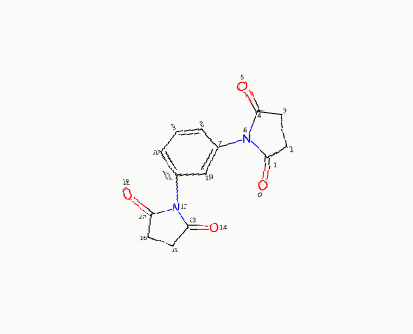 O=C1CCC(=O)N1c1cccc(N2C(=O)CCC2=O)c1